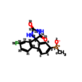 C[S+]([O-])c1ccc2c(c1)C1(NC(=O)NC1=O)c1cc(F)ccc1-2